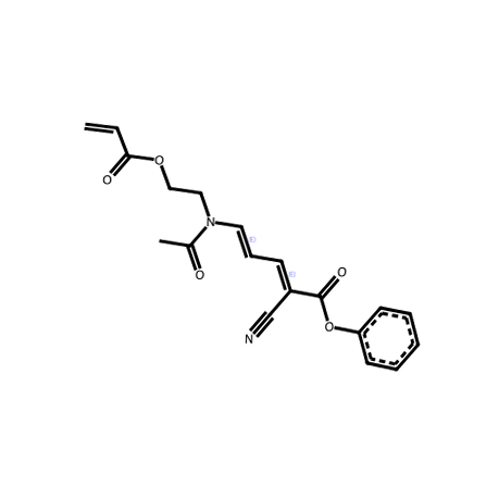 C=CC(=O)OCCN(/C=C/C=C(\C#N)C(=O)Oc1ccccc1)C(C)=O